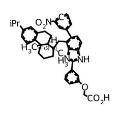 CC(C)c1ccc2c(c1)CC[C@H]1[C@@](C)(Cc3c(-c4cccc([N+](=O)[O-])c4)ccc4[nH]c(-c5cccc(OCC(=O)O)c5)nc34)CCC[C@]21C